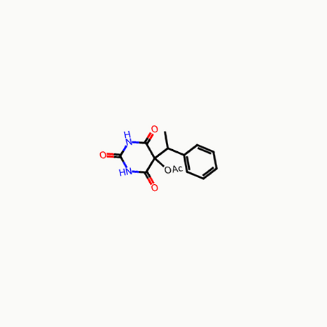 CC(=O)OC1(C(C)c2ccccc2)C(=O)NC(=O)NC1=O